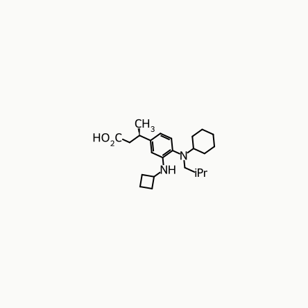 CC(C)CN(c1ccc([C@H](C)CC(=O)O)cc1NC1CCC1)C1CCCCC1